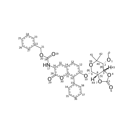 CO[C@@H]1[C@@H]2OC(=O)O[C@@H]2[C@H](Oc2ccc3cc(NC(=O)OCc4ccccc4)c(=O)oc3c2-c2ccccc2)OC1(C)C